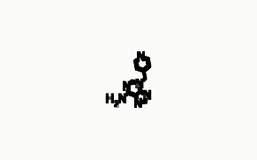 Nc1ncn(Cc2ccncc2)c2ncnc1-2